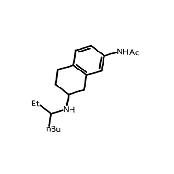 CCCCC(CC)NC1CCc2ccc(NC(C)=O)cc2C1